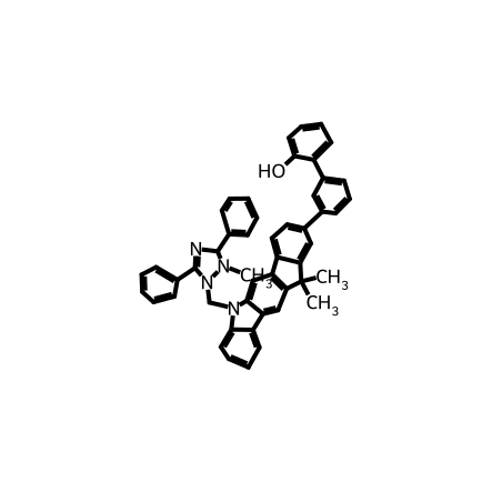 CN1C(c2ccccc2)N=C(c2ccccc2)N1Cn1c2ccccc2c2cc3c(cc21)-c1ccc(-c2cccc(-c4ccccc4O)c2)cc1C3(C)C